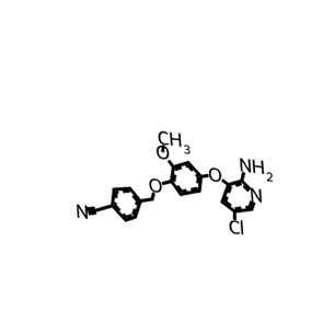 COc1cc(Oc2cc(Cl)cnc2N)ccc1OCc1ccc(C#N)cc1